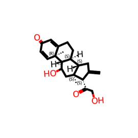 C=C1C[C@H]2[C@@H]3CCC4=CC(=O)C=C[C@]4(C)[C@H]3C(O)C[C@]2(C)[C@H]1C(=O)CO